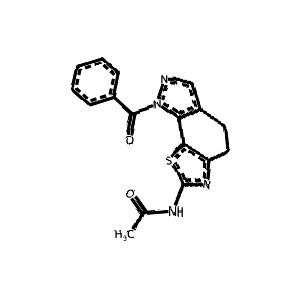 CC(=O)Nc1nc2c(s1)-c1c(cnn1C(=O)c1ccccc1)CC2